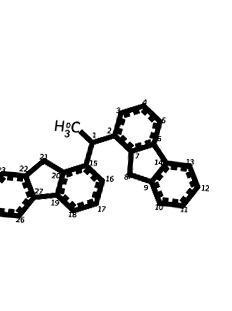 CC(c1cccc2c1[CH]c1ccccc1-2)c1cccc2c1[CH]c1ccccc1-2